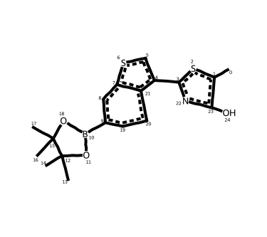 Cc1sc(-c2csc3cc(B4OC(C)(C)C(C)(C)O4)ccc23)nc1O